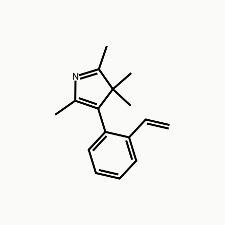 C=Cc1ccccc1C1=C(C)N=C(C)C1(C)C